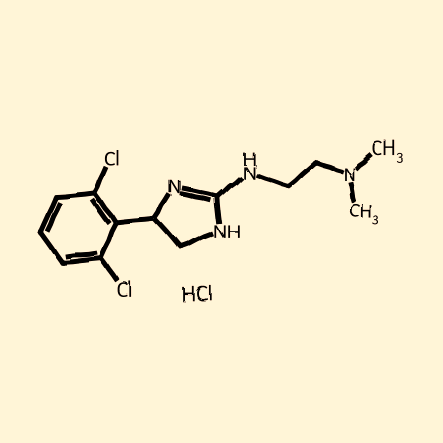 CN(C)CCNC1=NC(c2c(Cl)cccc2Cl)CN1.Cl